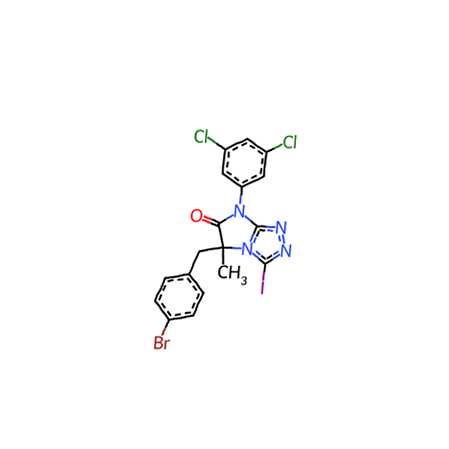 CC1(Cc2ccc(Br)cc2)C(=O)N(c2cc(Cl)cc(Cl)c2)c2nnc(I)n21